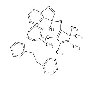 CC1=C(C)C(C)(C)[C]([Ti][C]2(Pc3ccccc3C)C=Cc3ccccc32)=C1C.c1ccc(CCc2ccccc2)cc1